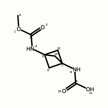 COC(=O)NC12CC(NC(=O)O)(C1)C2